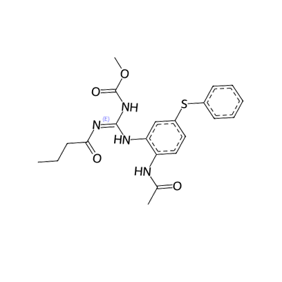 CCCC(=O)/N=C(/NC(=O)OC)Nc1cc(Sc2ccccc2)ccc1NC(C)=O